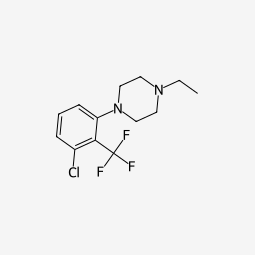 CCN1CCN(c2cccc(Cl)c2C(F)(F)F)CC1